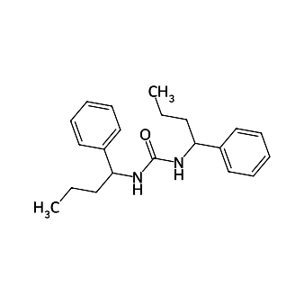 CCCC(NC(=O)NC(CCC)c1ccccc1)c1ccccc1